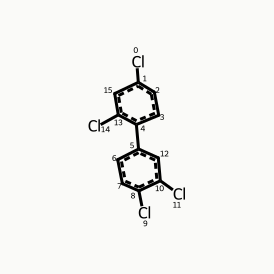 Clc1ccc(-c2ccc(Cl)c(Cl)c2)c(Cl)c1